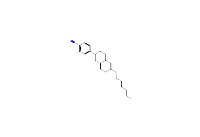 CCCCCCCC1CCC2CC(c3ccc(C#N)c(F)c3)CCC2C1